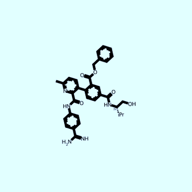 Cc1ccc(-c2ccc(C(=O)N[C@H](CO)C(C)C)cc2C(=O)OCc2ccccc2)c(C(=O)Nc2ccc(C(=N)N)cc2)n1